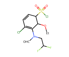 CCOC1C(N(C=O)CC(F)F)=C(Cl)C=CC1S(=O)(=O)Cl